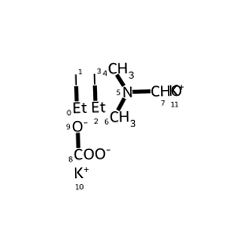 CCI.CCI.CN(C)C=O.O=C([O-])[O-].[K+].[K+]